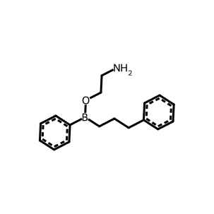 NCCOB(CCCc1ccccc1)c1ccccc1